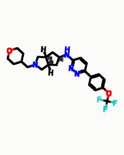 FC(F)(F)Oc1ccc(-c2ccc(N[C@H]3C[C@@H]4CN(CC5CCOCC5)C[C@@H]4C3)nn2)cc1